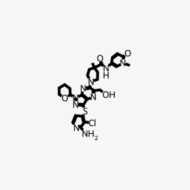 Cn1cc(NC(=O)C2(C)CCN(c3nc4c(nc3CO)c(Sc3ccnc(N)c3Cl)nn4C3CCCCO3)CC2)ccc1=O